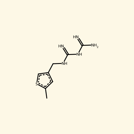 Cc1cc(CNC(=N)NC(=N)N)cs1